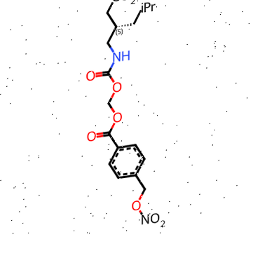 CC(C)C[C@H](CNC(=O)OCOC(=O)c1ccc(CO[N+](=O)[O-])cc1)CC(=O)O